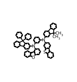 CC1(C)c2ccccc2-c2ccc(N(c3cccc(N(c4ccc5c(c4)C(c4ccccc4)(c4ccccc4)c4ccccc4-5)c4cccc5oc6ccccc6c45)c3)c3ccc4c(c3)sc3ccccc34)cc21